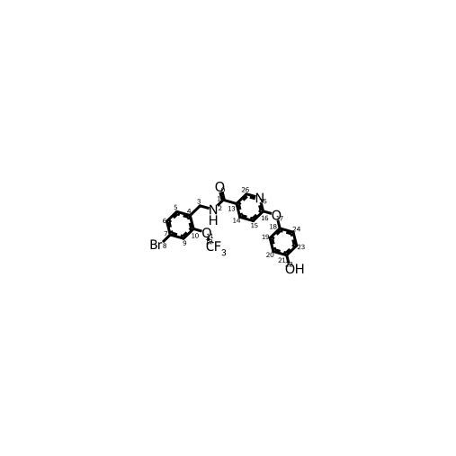 O=C(NCc1ccc(Br)cc1OC(F)(F)F)c1ccc(Oc2ccc(O)cc2)nc1